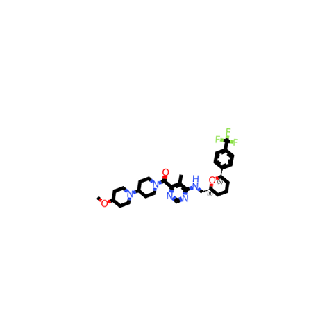 COC1CCN(C2CCN(C(=O)c3ncnc(NC[C@H]4CCC[C@@H](c5ccc(C(F)(F)F)cc5)O4)c3C)CC2)CC1